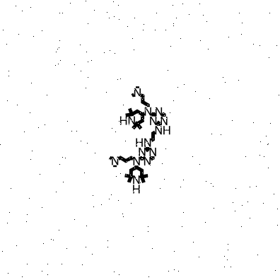 CN(C)CCCN(c1ncnc(NCCNc2ncnc(N(CCCN(C)C)C3CC(C)(C)NC(C)(C)C3)n2)n1)C1CC(C)(C)NC(C)(C)C1